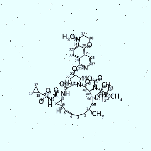 C[C@H]1CC/C=C\[C@@H]2C[C@@]2(C(=O)NS(=O)(=O)C2CC2)NC(=O)[C@@H]2C[C@@H](Oc3nccc4c5c(ccc34)N(C)CCO5)CN2C(=O)[C@@H](N(C(=O)O)C(C)(C)C(C)(F)F)[C@H](C)C1